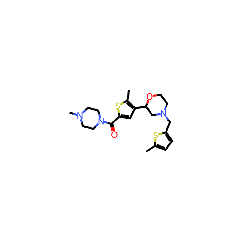 Cc1ccc(CN2CCOC(c3cc(C(=O)N4CCN(C)CC4)sc3C)C2)s1